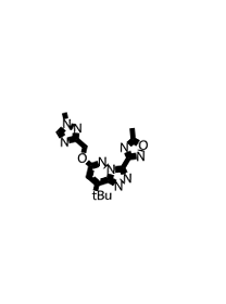 Cc1nc(-c2nnc3c(C(C)(C)C)cc(OCc4ncn(C)n4)nn23)no1